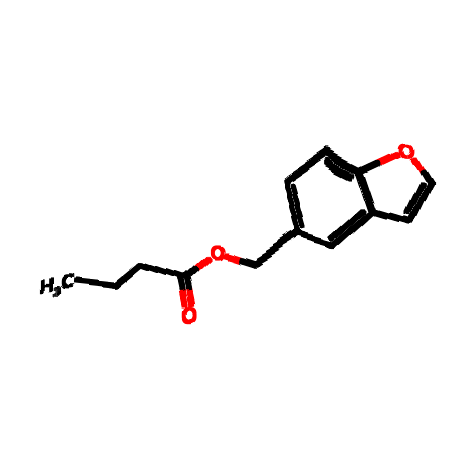 CCCC(=O)OCc1ccc2occc2c1